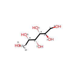 OC[C@@H](O)[C@@H](O)[C@H](O)[C@@H](O)[13CH2]O